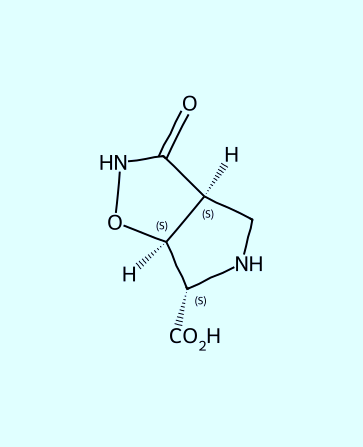 O=C1NO[C@H]2[C@@H]1CN[C@@H]2C(=O)O